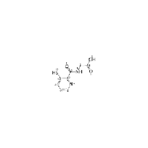 O=C(O)CNC(=O)c1ncccc1S